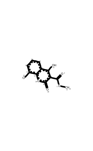 COC(=O)c1c(O)c2cccc(Cl)c2oc1=O